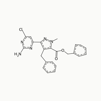 Cn1nc(-c2cc(Cl)nc(N)n2)c(Cc2ccccc2)c1C(=O)OCc1ccccc1